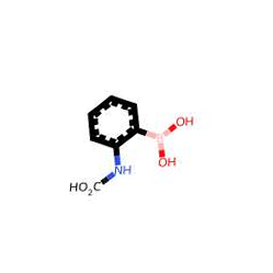 O=C(O)Nc1ccccc1B(O)O